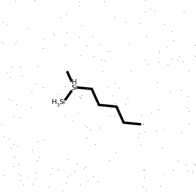 [CH2]CCCC[SiH](C)[SiH3]